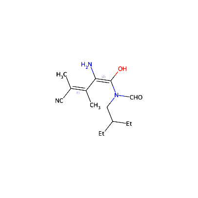 CCC(CC)CN(C=O)/C(O)=C(N)\C(C)=C(/C)C#N